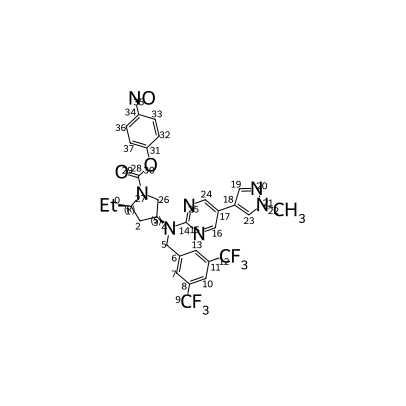 CC[C@@H]1C[C@H](N(Cc2cc(C(F)(F)F)cc(C(F)(F)F)c2)c2ncc(-c3cnn(C)c3)cn2)CN1C(=O)Oc1ccc(N=O)cc1